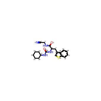 N#CCNC(=O)C(Cc1csc2ccccc12)NC(=O)NC1CCCCC1